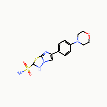 NS(=O)(=O)C1Nn2cc(-c3ccc(N4CCOCC4)cc3)nc2S1